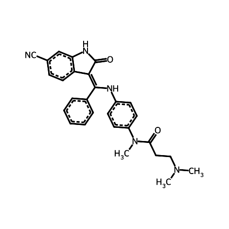 CN(C)CCC(=O)N(C)c1ccc(N/C(=C2\C(=O)Nc3cc(C#N)ccc32)c2ccccc2)cc1